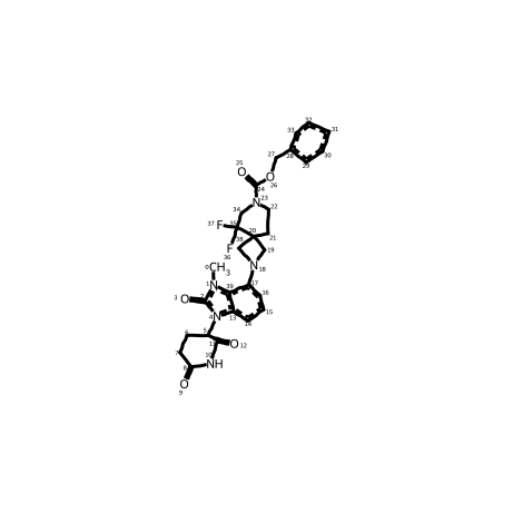 Cn1c(=O)n(C2CCC(=O)NC2=O)c2cccc(N3CC4(CCN(C(=O)OCc5ccccc5)CC4(F)F)C3)c21